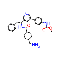 COC(=O)Nc1ccc(-c2cncc(C(Cc3ccccc3)NC(=O)C3CCC(CN)CC3)c2)cc1